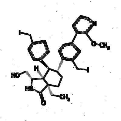 CC[C@@]12CC[C@@H](c3ccc(-c4cccnc4OC)cc3CI)[C@H](c3ccc(CI)cc3)[C@@H]1[C@@H](CO)NC2=O